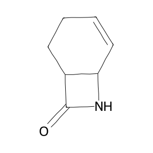 O=C1NC2C=CCCC12